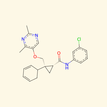 Cc1ncc(OC[C@@]2(C3C=CC=CC3)C[C@H]2C(=O)Nc2cccc(Cl)c2)c(C)n1